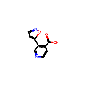 O=C(O)c1ccncc1-c1[c][c]no1